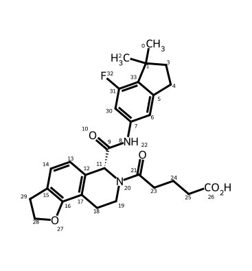 CC1(C)CCc2cc(NC(=O)[C@H]3c4ccc5c(c4CCN3C(=O)CCCC(=O)O)OCC5)cc(F)c21